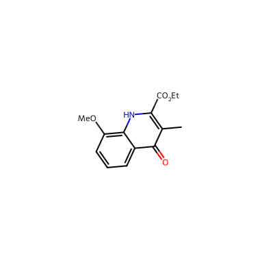 CCOC(=O)c1[nH]c2c(OC)cccc2c(=O)c1C